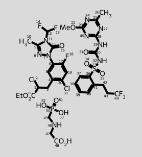 CCOC(=O)C(Cl)Cc1cc(-n2nc(C)n(C(F)F)c2=O)c(F)cc1Cl.COc1nc(C)nc(NC(=O)NS(=O)(=O)c2ccccc2CCC(F)(F)F)n1.O=C(O)CNCP(=O)(O)O